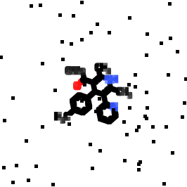 COC(=O)C1=C(C)NC(C)=C(c2ccccn2)C1c1ccc(C)cc1